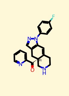 O=C(c1ccccn1)[C@@]12CNCCC1=Cc1c(cnn1-c1ccc(F)cc1)C2